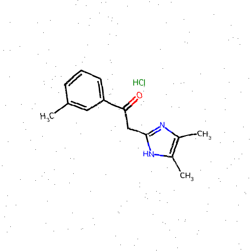 Cc1cccc(C(=O)Cc2nc(C)c(C)[nH]2)c1.Cl